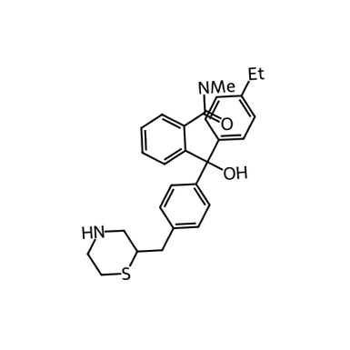 CCc1ccc(C(O)(c2ccc(CC3CNCCS3)cc2)c2ccccc2C(=O)NC)cc1